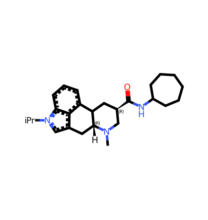 CC(C)n1cc2c3c(cccc31)C1C[C@@H](C(=O)NC3CCCCCC3)CN(C)[C@@H]1C2